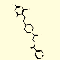 Cc1nc(N)c(CCC2CCN(C(=O)CNC(=O)c3ccnnc3)CC2)c(Cl)n1